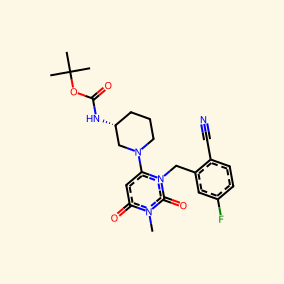 Cn1c(=O)cc(N2CCC[C@@H](NC(=O)OC(C)(C)C)C2)n(Cc2cc(F)ccc2C#N)c1=O